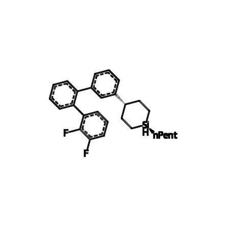 CCCCC[Si@H]1CC[C@H](c2cccc(-c3ccccc3-c3cccc(F)c3F)c2)CC1